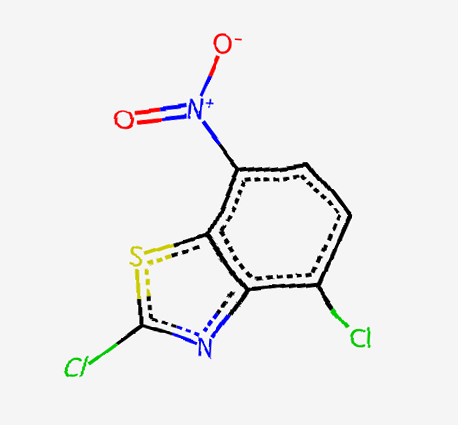 O=[N+]([O-])c1ccc(Cl)c2nc(Cl)sc12